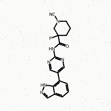 N#CN1CCCC(F)(C(=O)Nc2ncc(-c3cccc4cn[nH]c34)cn2)C1